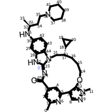 Cc1cc2cc(n1)-c1cnn(C)c1OCCC[C@@H](C1CC1)CN1/C(=N/C2=O)Nc2cc(N[C@@H](C)CCN3CCCCC3)ccc21